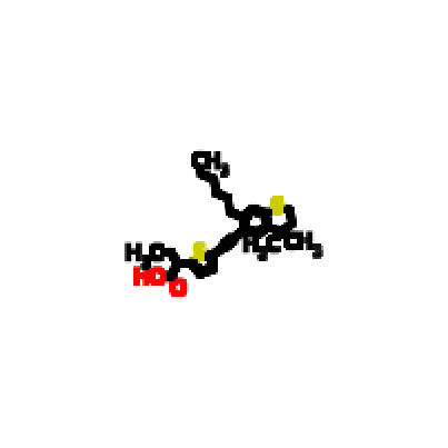 CCCCCCc1cc2c(cc1C#Cc1ccc(C(CC)C(=O)O)s1)C(C)(C)CCS2